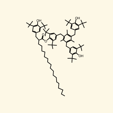 CCCCCCCCCCCCCCCCCCC(Cc1cc(C(C)(C)C)c(O)c(C(C)(C)C)c1)C(=O)Oc1c(C(C)(C)C)cc(Cc2c(C)c(Cc3cc(C(C)(C)C)c(O)c(C(C)(C)C)c3)c(C)c(Cc3cc(C(C)(C)C)c(O)c(C(C)(C)C)c3)c2C)cc1C(C)(C)C